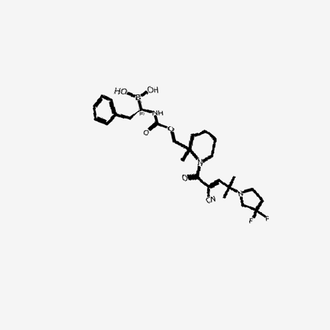 CC(C)(C=C(C#N)C(=O)N1CCCCC1(C)COC(=O)N[C@@H](Cc1ccccc1)B(O)O)N1CCC(F)(F)C1